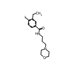 CCc1cc(C(=O)NCCCN2CCOCC2)ccc1I